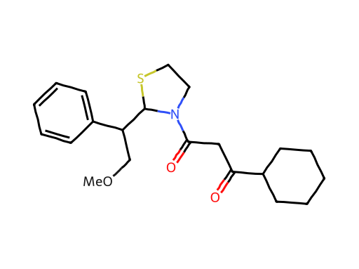 COCC(c1ccccc1)C1SCCN1C(=O)CC(=O)C1CCCCC1